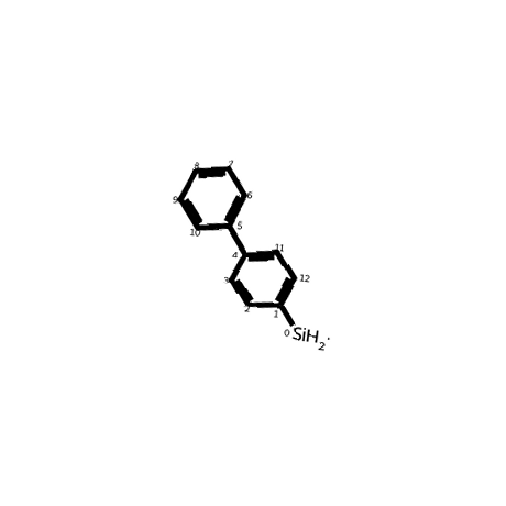 [SiH2]c1ccc(-c2ccccc2)cc1